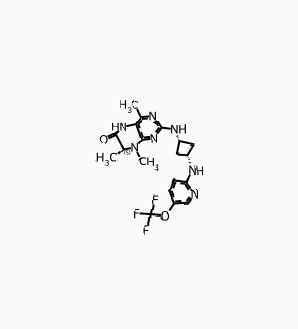 Cc1nc(N[C@H]2C[C@@H](Nc3ccc(OC(F)(F)F)cn3)C2)nc2c1NC(=O)[C@H](C)N2C